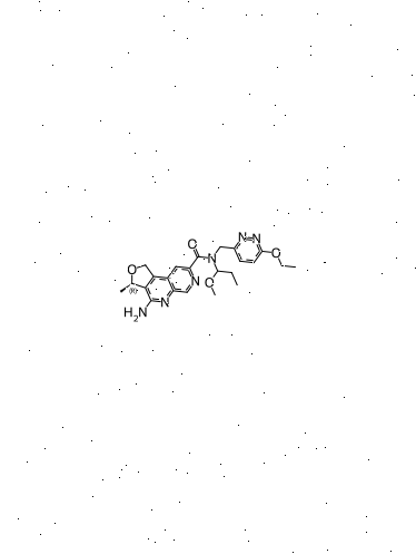 CCOc1ccc(CN(C(=O)c2cc3c4c(c(N)nc3cn2)[C@@H](C)OC4)C(CC)OC)nn1